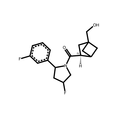 O=C([C@H]1CC2(CO)CC1C2)N1CC(F)CC1c1cccc(F)c1